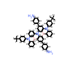 CC(C)(C)c1ccc(N2c3ccccc3B3c4cc(-c5ccc(N)cc5)cc5c4N(c4cccc2c43)c2cc(-c3ccc(N)cc3)cc3c2B5c2ccccc2N3c2ccc(C(C)(C)C)cc2)cc1